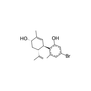 C=C(C)[C@@H]1C[C@H](O)C(C)=C[C@H]1c1c(C)cc(Br)cc1O